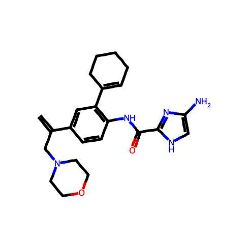 C=C(CN1CCOCC1)c1ccc(NC(=O)c2nc(N)c[nH]2)c(C2=CCCCC2)c1